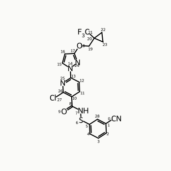 N#Cc1cccc(SNC(=O)c2ccc(-n3ccc(OCC4(C(F)(F)F)CC4)n3)nc2Cl)c1